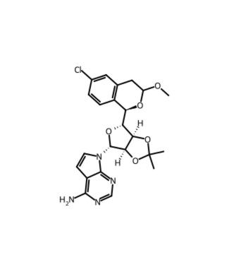 COC1Cc2cc(Cl)ccc2[C@H]([C@H]2O[C@@H](n3ccc4c(N)ncnc43)[C@@H]3OC(C)(C)O[C@@H]32)O1